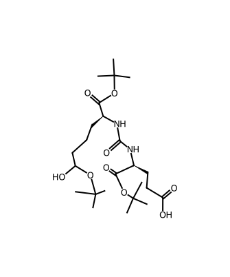 CC(C)(C)OC(=O)[C@H](CCCC(O)OC(C)(C)C)NC(=O)N[C@@H](CCC(=O)O)C(=O)OC(C)(C)C